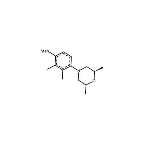 CNc1ccc(N2CC(C)O[C@H](C)C2)c(C)c1C